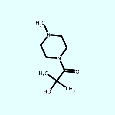 CN1CCN(C(=O)C(C)(C)O)CC1